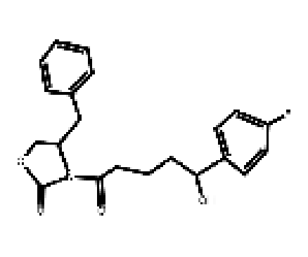 O=C(CCCC(O)c1ccc(F)cc1)N1C(=O)OCC1Cc1ccccc1